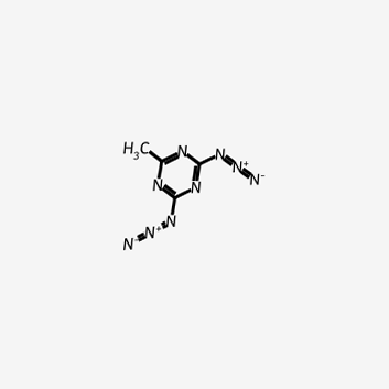 Cc1nc(N=[N+]=[N-])nc(N=[N+]=[N-])n1